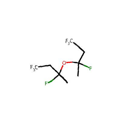 CC(F)(CC(F)(F)F)OC(C)(F)CC(F)(F)F